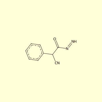 N#CC(C(=O)N=N)c1ccccc1